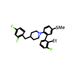 CCc1c(F)cccc1-c1cc(SC)ccc1N1CCC(Cc2ccc(F)cc2F)CC1